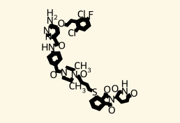 C[C@@H]1CN(C(=O)c2ccc(NC(=O)c3cc(OCCc4c(Cl)ccc(F)c4Cl)c(N)nn3)cc2)C[C@H](C)N1C(=O)CCCSc1cccc2c1C(=O)N([C@@H]1CCC(=O)NC1=O)C2=O